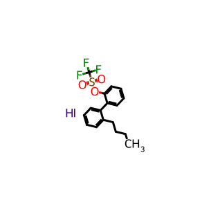 CCCCc1ccccc1-c1ccccc1OS(=O)(=O)C(F)(F)F.I